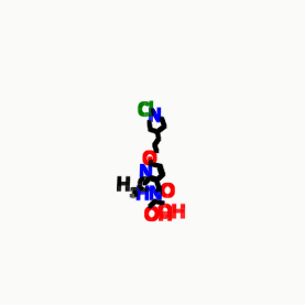 Cc1nc(OCCCC2CCN(Cl)CC2)ccc1C(=O)NC(CO)CO